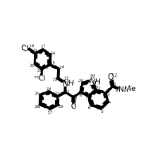 CNC(=O)c1cccc2c(C(=O)C(NCCc3ccc(Cl)cc3Cl)c3ccccc3)c[nH]c12